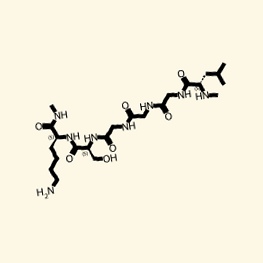 CNC(=O)[C@H](CCCCN)NC(=O)[C@H](CO)NC(=O)CNC(=O)CNC(=O)CNC(=O)[C@H](CC(C)C)NC